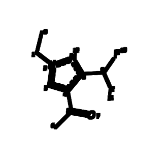 CCn1cc(C(C)=O)c(C(F)F)n1